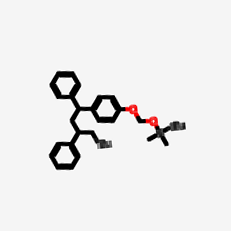 CCC(C)CC(CC(c1ccccc1)c1ccc(OCO[Si](C)(C)C(C)(C)C)cc1)c1ccccc1